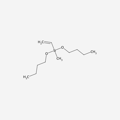 C=C[Si](C)(OCCCC)OCCCC